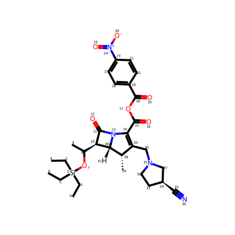 CC[Si](CC)(CC)OC(C)[C@H]1C(=O)N2C(C(=O)OC(=O)c3ccc([N+](=O)[O-])cc3)=C(CN3CC[C@H](C#N)C3)[C@H](C)[C@H]12